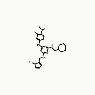 CCn1cccc1CNc1nc(NCC2CCCCC2)nc(Nc2ccc(N(C)C)c(F)c2)n1